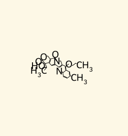 CCCOc1c2c(nc3ccc(C)cc13)-c1cc3c(c(=O)n1C2)COC(=O)[C@]3(O)CC